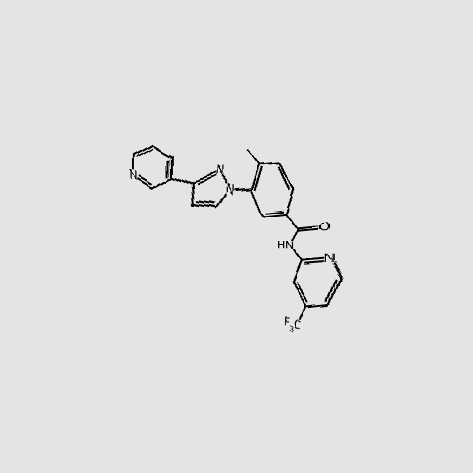 Cc1ccc(C(=O)Nc2cc(C(F)(F)F)ccn2)cc1-n1ccc(-c2cccnc2)n1